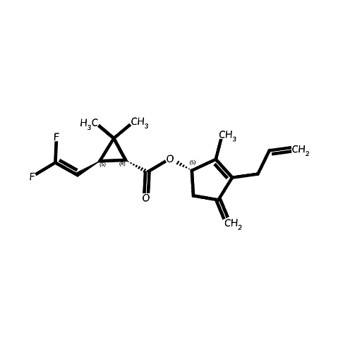 C=CCC1=C(C)[C@@H](OC(=O)[C@@H]2[C@@H](C=C(F)F)C2(C)C)CC1=C